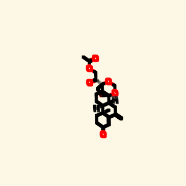 C=C1C[C@@H]2[C@H](CC[C@]3(C)[C@@]4(C(=O)COC(C)=O)CC[C@@]23OCO4)[C@@]2(C)CCC(=O)C=C12